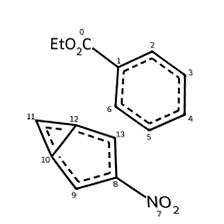 CCOC(=O)c1ccccc1.O=[N+]([O-])c1cc2cc-2c1